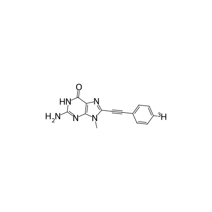 [3H]c1ccc(C#Cc2nc3c(=O)[nH]c(N)nc3n2C)cc1